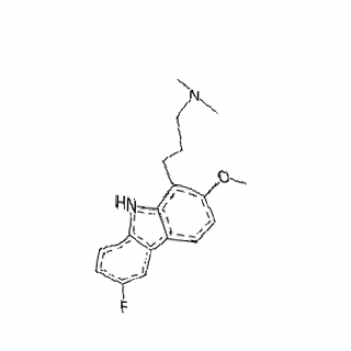 COc1ccc2c([nH]c3ccc(F)cc32)c1CCCN(C)C